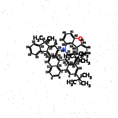 CC(C)(C)c1cc(-c2cccc3cccc(-c4ccccc4N(c4ccc5c(c4)C(C)(C)c4ccccc4-5)c4cccc5oc6ccccc6c45)c23)cc(C(C)(C)C)c1